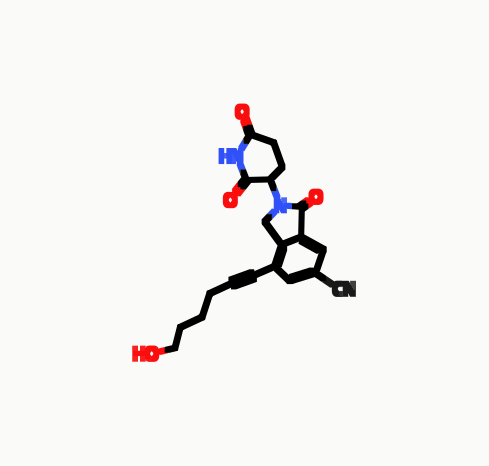 N#Cc1cc(C#CCCCCO)c2c(c1)C(=O)N(C1CCC(=O)NC1=O)C2